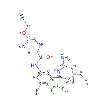 C#CCOc1cnc(C(=O)Nc2cc(F)c(F)c([C@@]3(CF)N=C(N)S[C@@]4(CF)CC43)c2)cn1